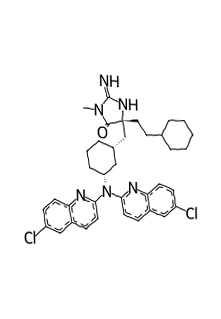 CN1C(=N)N[C@](CCC2CCCCC2)(C[C@H]2CCC[C@@H](N(c3ccc4cc(Cl)ccc4n3)c3ccc4cc(Cl)ccc4n3)C2)C1=O